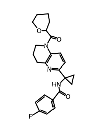 O=C(NC1(c2ccc3c(n2)CCCN3C(=O)C2CCCCO2)CC1)c1ccc(F)cc1